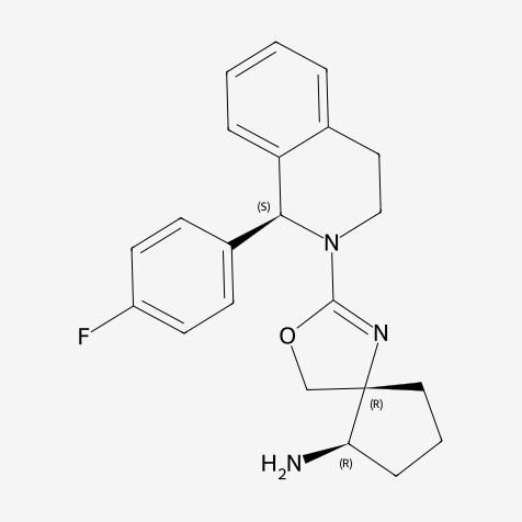 N[C@@H]1CCC[C@]12COC(N1CCc3ccccc3[C@@H]1c1ccc(F)cc1)=N2